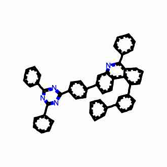 c1ccc(-c2cccc(-c3cccc4c(-c5ccccc5)nc5cc(-c6ccc(-c7nc(-c8ccccc8)nc(-c8ccccc8)n7)cc6)ccc5c34)c2)cc1